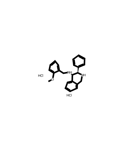 COc1ccccc1CN[C@H]1c2ccccc2CN[C@@H]1c1ccccc1.Cl.Cl